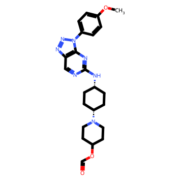 COc1ccc(-n2nnc3cnc(N[C@H]4CC[C@@H](N5CCC(OC=O)CC5)CC4)nc32)cc1